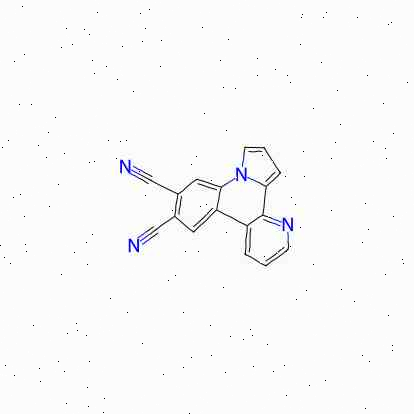 N#Cc1cc2c3cccnc3c3cccn3c2cc1C#N